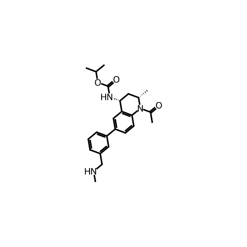 CNCc1cccc(-c2ccc3c(c2)[C@H](NC(=O)OC(C)C)C[C@H](C)N3C(C)=O)c1